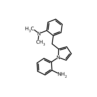 CN(C)c1ccccc1Cc1cccn1-c1ccccc1N